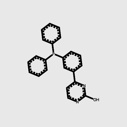 Oc1nccc(-c2cccc(P(c3ccccc3)c3ccccc3)c2)n1